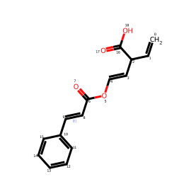 C=CC(C=COC(=O)/C=C/c1ccccc1)C(=O)O